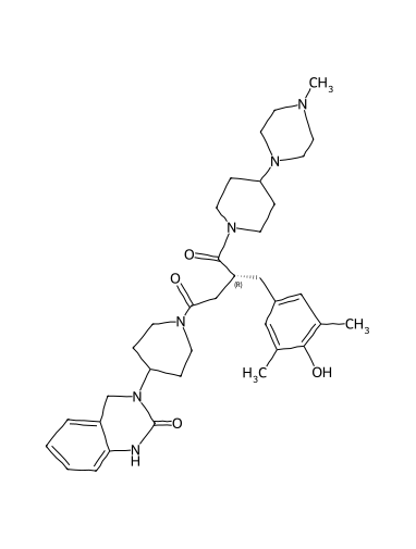 Cc1cc(C[C@H](CC(=O)N2CCC(N3Cc4ccccc4NC3=O)CC2)C(=O)N2CCC(N3CCN(C)CC3)CC2)cc(C)c1O